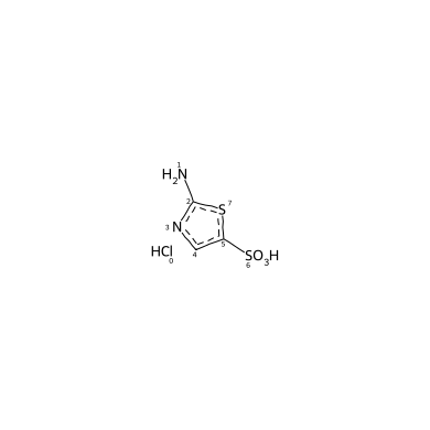 Cl.Nc1ncc(S(=O)(=O)O)s1